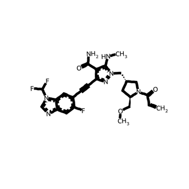 C=CC(=O)N1C[C@@H](Cn2nc(C#Cc3cc4c(cc3F)ncn4C(F)F)c(C(N)=O)c2NC)C[C@@H]1COC